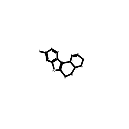 Cc1ccc2c3c(oc2c1)CCC1CCC=CC31